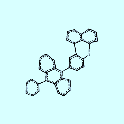 c1ccc(-c2c3ccccc3c(-c3ccc4c(c3)-c3cccc5cccc(c35)O4)c3ccccc23)cc1